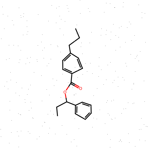 CCCc1ccc(C(=O)OC(CC)c2ccccc2)cc1